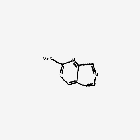 CSc1ncc2ccncc2n1